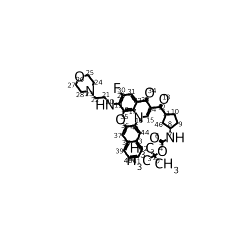 CC(C)(C)OC(=O)N[C@@H]1CCC(C(=O)c2cn3c4c(c(NCCN5CCOCC5)c(F)cc4c2=O)Oc2cc4ccccc4cc2-3)C1